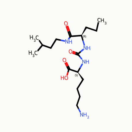 CCC[C@@H](NC(=O)N[C@@H](CCCCN)C(=O)O)C(=O)NCCC(C)C